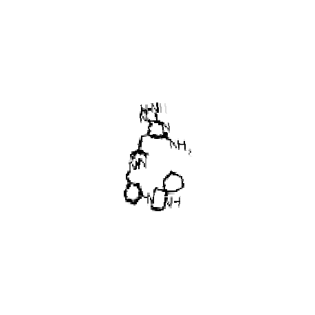 Nc1cc(Cc2cnn(Cc3cccc(N4CCNC5(CCCCC5)C4)c3)c2)c2nn[nH]c2n1